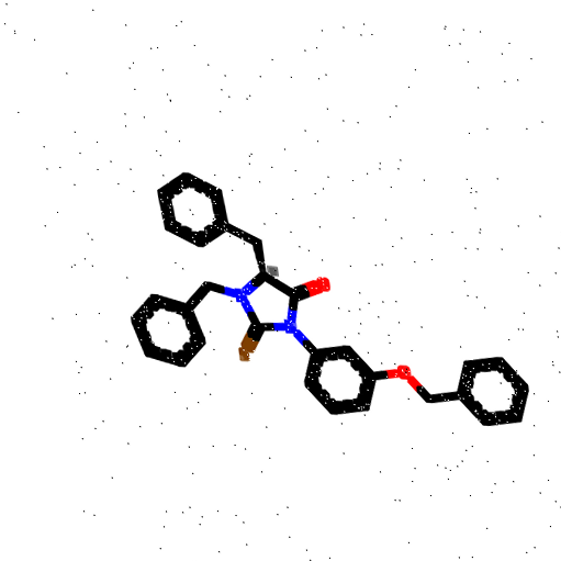 O=C1[C@H](Cc2ccccc2)N(Cc2ccccc2)C(=S)N1c1cccc(OCc2ccccc2)c1